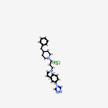 Cl.Cl.c1ccc(CC2CCN(CCCn3ccc4cc(-n5cnnc5)ccc43)CC2)cc1